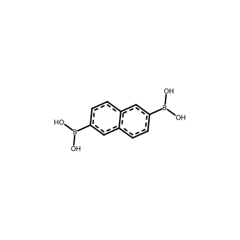 OB(O)c1ccc2cc(B(O)O)ccc2c1